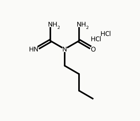 CCCCN(C(=N)N)C(N)=O.Cl.Cl